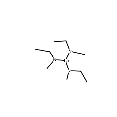 CC[N](C)[La]([N](C)CC)[N](C)CC